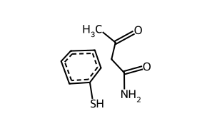 CC(=O)CC(N)=O.Sc1ccccc1